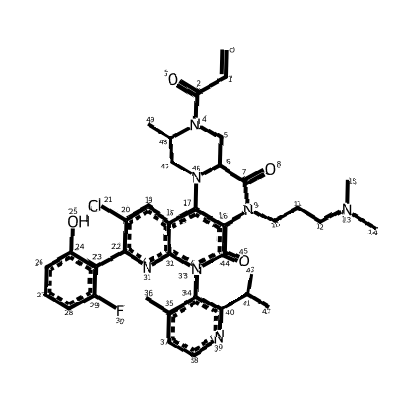 C=CC(=O)N1CC2C(=O)N(CCCN(C)C)c3c(c4cc(Cl)c(-c5c(O)cccc5F)nc4n(-c4c(C)ccnc4C(C)C)c3=O)N2CC1C